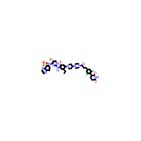 CCc1cc(Nc2ncc(Br)c(Nc3ccc4nccnc4c3P(C)(C)=O)n2)c(OC)cc1N1CCC(N2CCN(C(=O)CCc3cc(F)c(C4CCC(=O)NC4=O)c(F)c3)CC2)CC1